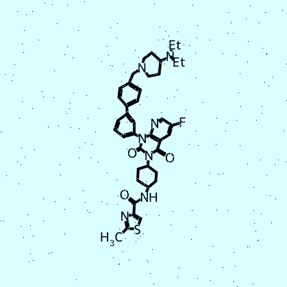 CCN(CC)C1CCN(Cc2ccc(-c3cccc(-n4c(=O)n(C5CCC(NC(=O)c6csc(C)n6)CC5)c(=O)c5cc(F)cnc54)c3)cc2)CC1